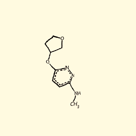 CNc1ccc(OC2CCOC2)nn1